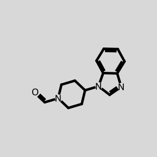 O=CN1CCC(n2cnc3ccccc32)CC1